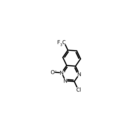 [O-][n+]1nc(Cl)nc2ccc(C(F)(F)F)cc21